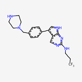 FC(F)(F)CCNc1ncc2c(-c3ccc(CN4CCNCC4)cc3)c[nH]c2n1